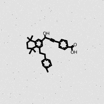 Cc1ccc(CCc2cc(C(O)C#Cc3ccc(C(=O)O)cc3)cc3c2C(C)(C)CCC3(C)C)cc1